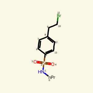 CCCNS(=O)(=O)c1ccc(CCBr)cc1